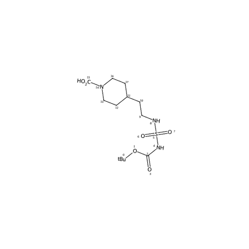 CC(C)(C)OC(=O)NS(=O)(=O)NCCC1CCN(C(=O)O)CC1